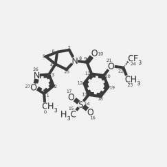 Cc1cc(C23CC2CN(C(=O)c2cc(S(C)(=O)=O)ccc2O[C@@H](C)C(F)(F)F)C3)no1